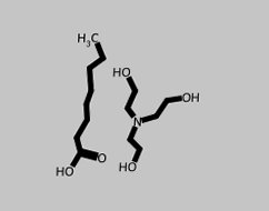 CCCCCCCC(=O)O.OCCN(CCO)CCO